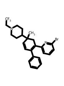 CC1(C2CCN(CC(F)(F)F)CC2)C=CC(c2ccccc2)=C(c2cccc(Br)n2)C1